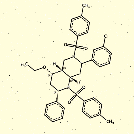 CCO[C@H]1C[C@@H](c2ccccc2)N(S(=O)(=O)c2ccc(C)cc2)[C@H]2CC(c3cccc(Cl)c3)N(S(=O)(=O)c3ccc(C)cc3)C[C@@H]12